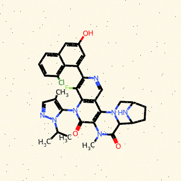 Cc1cnn(C(C)C)c1-n1c(=O)c2c(c3cnc(-c4cc(O)cc5cccc(Cl)c45)c(F)c31)N1CC3CCC(N3)C1C(=O)N2C